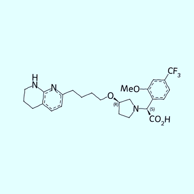 COc1cc(C(F)(F)F)ccc1[C@@H](C(=O)O)N1CC[C@@H](OCCCCc2ccc3c(n2)NCCC3)C1